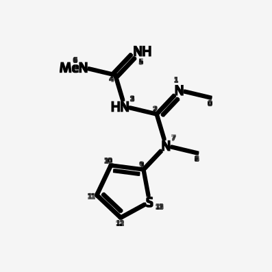 C/N=C(/NC(=N)NC)N(C)c1cccs1